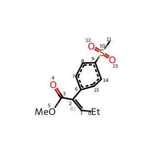 CC/C=C(/C(=O)OC)c1ccc(S(C)(=O)=O)cc1